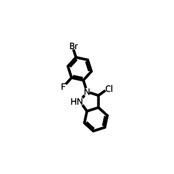 Fc1cc(Br)ccc1N1NC2C=CC=CC2C1Cl